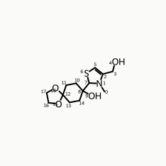 CN1C(CO)=CSC1C1(O)CCC2(CC1)OCCO2